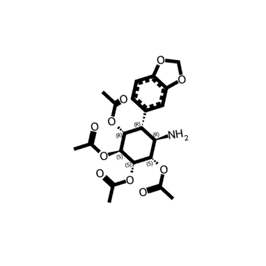 CC(=O)O[C@@H]1[C@@H](OC(C)=O)[C@H](OC(C)=O)[C@H](c2ccc3c(c2)OCO3)[C@@H](N)[C@@H]1OC(C)=O